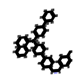 Cc1ccc(/C=C\c2ccc(-c3ccc(N(c4ccc(-c5ccccc5)cc4)c4cccc5ccccc45)cc3)cc2)cc1